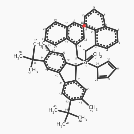 [CH2]=[Zr]([CH2]c1cccc2ccccc12)([CH2]c1cccc2ccccc12)([CH]1C=CC=C1)[CH]1c2cc(C)c(C(C)(C)C)cc2-c2cc(C(C)(C)C)c(C)cc21